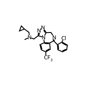 CN(Cc1nnc2n1-c1ccc(C(F)(F)F)cc1C(c1ccccc1Cl)=NC2)CC1CC1